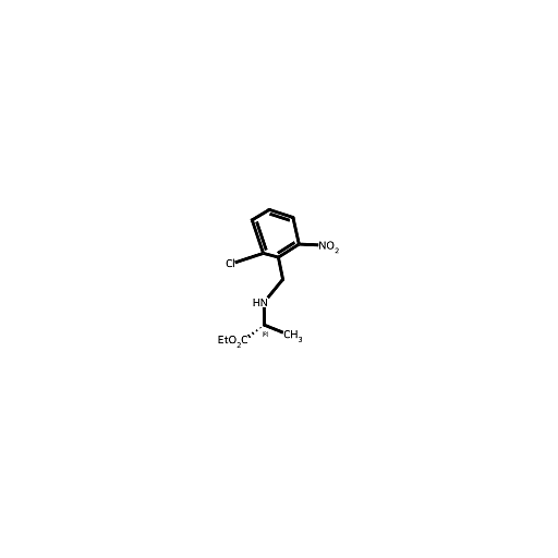 CCOC(=O)[C@@H](C)NCc1c(Cl)cccc1[N+](=O)[O-]